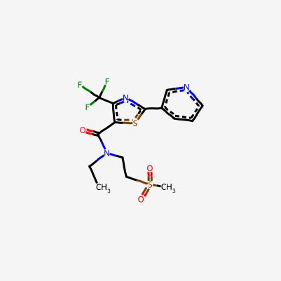 CCN(CCS(C)(=O)=O)C(=O)c1sc(-c2cccnc2)nc1C(F)(F)F